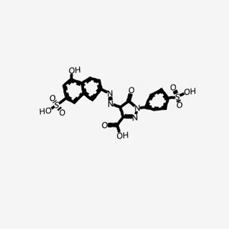 O=C(O)C1=NN(c2ccc(S(=O)(=O)O)cc2)C(=O)C1N=Nc1ccc2c(O)cc(S(=O)(=O)O)cc2c1